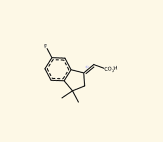 CC1(C)C/C(=C\C(=O)O)c2cc(F)ccc21